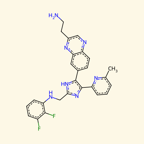 Cc1cccc(-c2nc(CNc3cccc(F)c3F)[nH]c2-c2ccc3ncc(CCN)nc3c2)n1